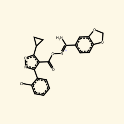 N/C(=N\OC(=O)c1c(-c2ccccc2Cl)noc1C1CC1)c1ccc2c(c1)OCO2